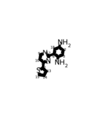 Nc1ccc(N)c(-c2nccc(-c3cccs3)n2)c1